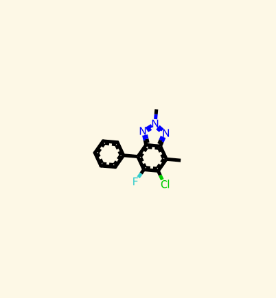 Cc1c(Cl)c(F)c(-c2ccccc2)c2nn(C)nc12